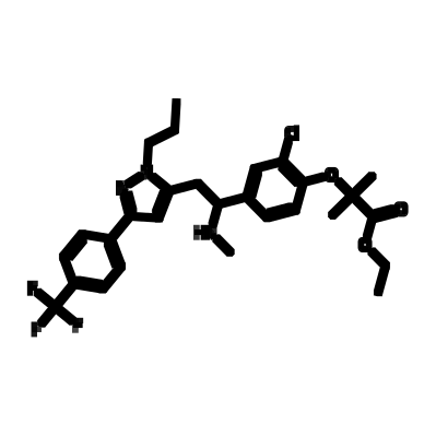 CCCn1nc(-c2ccc(C(F)(F)F)cc2)cc1CC(NC)c1ccc(OC(C)(C)C(=O)OCC)c(Cl)c1